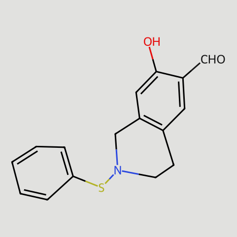 O=Cc1cc2c(cc1O)CN(Sc1ccccc1)CC2